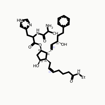 CCNC(=O)CCC/C=C\C[C@@H]1[C@@H](/C=C/[C@@H](O)CCc2ccccc2)[C@H](OC(=O)C(Cc2c[nH]cn2)NC(=O)C(C)N)C[C@@H]1O